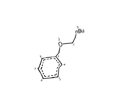 [CH2]CCCCOc1ccccc1